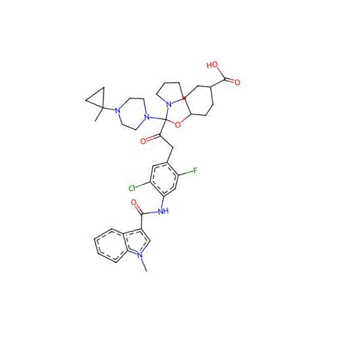 Cn1cc(C(=O)Nc2cc(F)c(CC(=O)C(OC3CCC(C(=O)O)CC3)(N3CCCC3)N3CCN(C4(C)CC4)CC3)cc2Cl)c2ccccc21